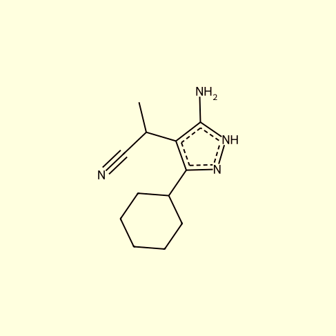 CC(C#N)c1c(C2CCCCC2)n[nH]c1N